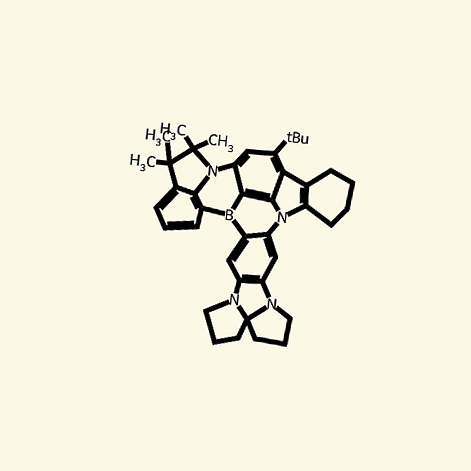 CC(C)(C)c1cc2c3c4c1c1c(n4-c4cc5c(cc4B3c3cccc4c3N2C(C)(C)C4(C)C)N2CCCC23CCCN53)CCCC1